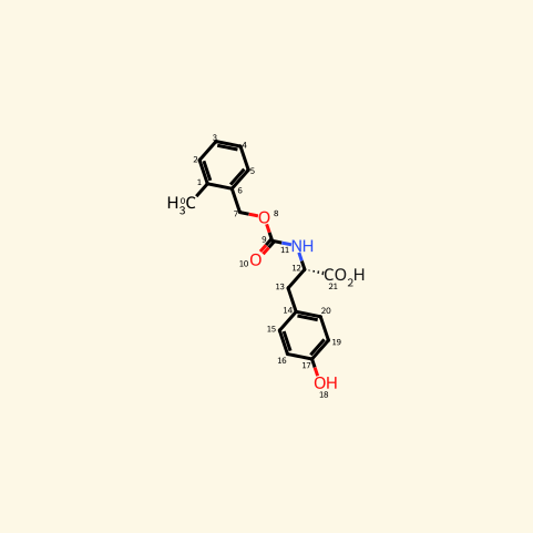 Cc1ccccc1COC(=O)N[C@@H](Cc1ccc(O)cc1)C(=O)O